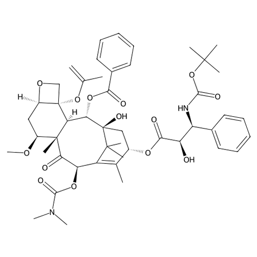 C=C(C)O[C@@]12CO[C@@H]1C[C@H](OC)[C@@]1(C)C(=O)[C@H](OC(=O)N(C)C)C3=C(C)[C@@H](OC(=O)[C@H](O)[C@@H](NC(=O)OC(C)(C)C)c4ccccc4)C[C@@](O)([C@@H](OC(=O)c4ccccc4)[C@H]21)C3(C)C